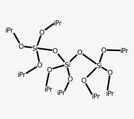 CC(C)O[Si](OC(C)C)(OC(C)C)O[Si](OC(C)C)(OC(C)C)O[Si](OC(C)C)(OC(C)C)OC(C)C